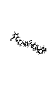 O=C(c1csc(C2CCN(Cc3ccccc3Br)CC2)n1)N1CCN(c2cccc(C(F)(F)F)c2)CC1